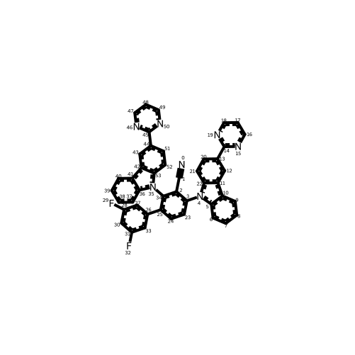 N#Cc1c(-n2c3ccccc3c3cc(-c4ncccn4)ccc32)ccc(-c2cc(F)cc(F)c2)c1-n1c2ccccc2c2cc(-c3ncccn3)ccc21